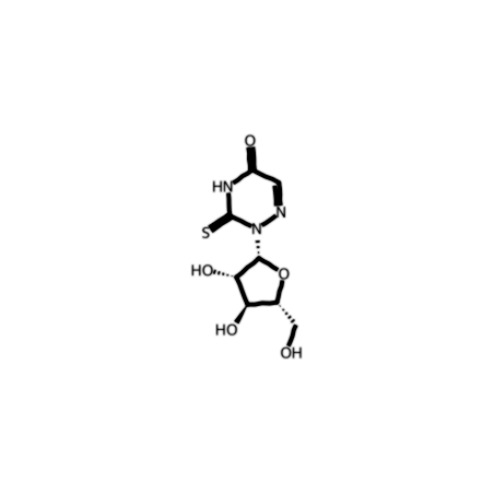 O=c1cnn([C@@H]2O[C@H](CO)[C@@H](O)[C@@H]2O)c(=S)[nH]1